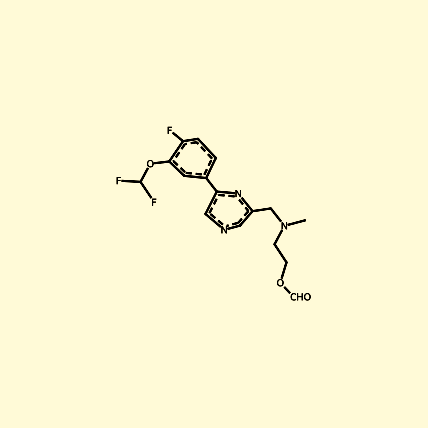 CN(CCOC=O)Cc1cncc(-c2ccc(F)c(OC(F)F)c2)n1